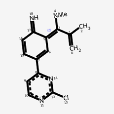 C=C(C)/C(NC)=C1\C=C(c2ccnc(Cl)n2)C=CC1=N